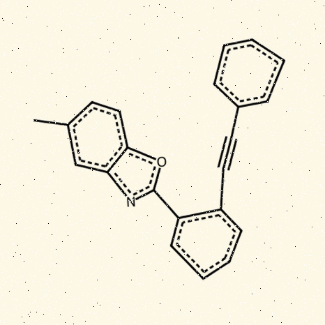 Cc1ccc2oc(-c3ccccc3C#Cc3ccccc3)nc2c1